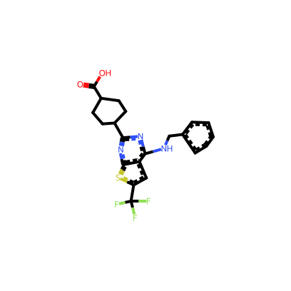 O=C(O)C1CCC(c2nc(NCc3ccccc3)c3cc(C(F)(F)F)sc3n2)CC1